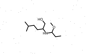 CCC(NC(CO)CCC(C)C)OC